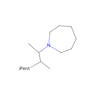 CCCC(C)C(C)C(C)N1CCCCCC1